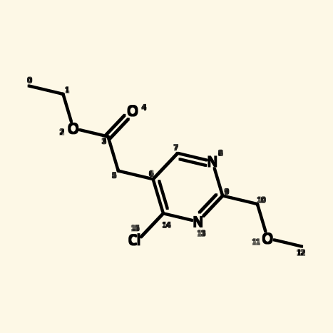 CCOC(=O)Cc1cnc(COC)nc1Cl